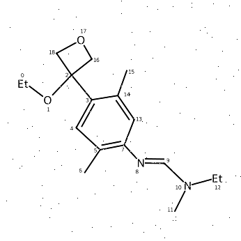 CCOC1(c2cc(C)c(N=CN(C)CC)cc2C)COC1